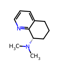 CN(C)[C@H]1CCCc2cccnc21